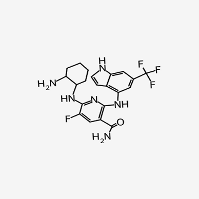 NC(=O)c1cc(F)c(NC2CCCCC2N)nc1Nc1cc(C(F)(F)F)cc2[nH]ccc12